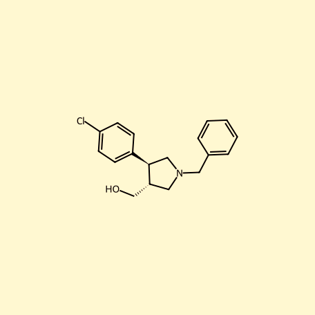 OC[C@H]1CN(Cc2ccccc2)C[C@@H]1c1ccc(Cl)cc1